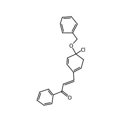 O=C(C=CC1=CCC(Cl)(OCc2ccccc2)C=C1)c1ccccc1